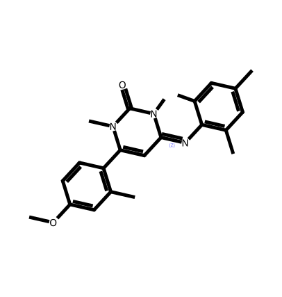 COc1ccc(-c2c/c(=N/c3c(C)cc(C)cc3C)n(C)c(=O)n2C)c(C)c1